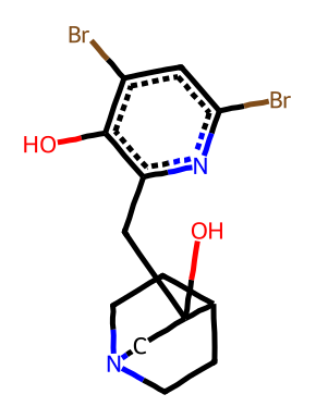 Oc1c(Br)cc(Br)nc1CC1(O)CN2CCC1CC2